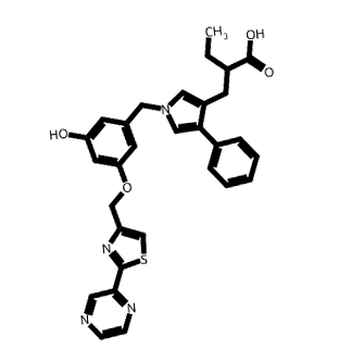 CCC(Cc1cn(Cc2cc(O)cc(OCc3csc(-c4cnccn4)n3)c2)cc1-c1ccccc1)C(=O)O